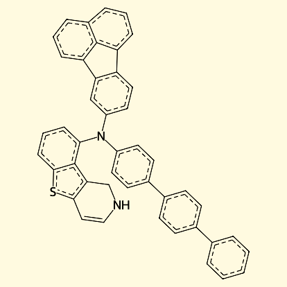 C1=Cc2sc3cccc(N(c4ccc(-c5ccc(-c6ccccc6)cc5)cc4)c4ccc5c(c4)-c4cccc6cccc-5c46)c3c2CN1